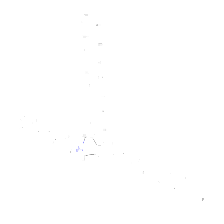 CCCCCCCCCCCCCCc1cc[n+](CCCCCCCC)cc1CCCCCCCCCCCCCC